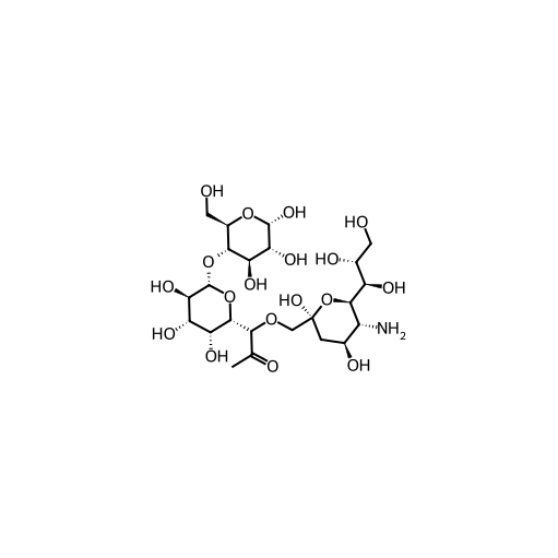 CC(=O)C(OC[C@]1(O)C[C@H](O)[C@@H](N)[C@H]([C@H](O)[C@H](O)CO)O1)[C@H]1O[C@@H](O[C@H]2[C@H](O)[C@@H](O)[C@@H](O)O[C@@H]2CO)[C@H](O)[C@@H](O)[C@H]1O